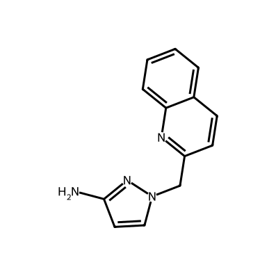 Nc1ccn(Cc2ccc3ccccc3n2)n1